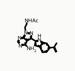 C=C(C)c1ccc2cc(-c3nn(CCNC(C)=O)c4ncnc(N)c34)[nH]c2c1